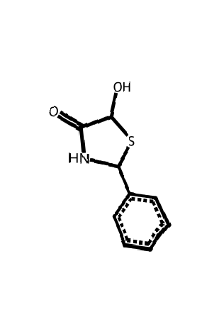 O=C1NC(c2ccccc2)SC1O